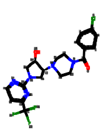 O=C(c1ccc(Cl)cc1)N1CCN([C@@H]2CN(c3nccc(C(F)(F)F)n3)C[C@H]2O)CC1